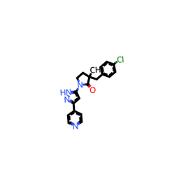 CC1(Cc2ccc(Cl)cc2)CCN(c2cc(-c3ccncc3)n[nH]2)C1=O